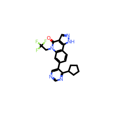 O=c1c2cn[nH]c2c2ccc(-c3cncnc3C3CCCC3)cc2n1CC(F)(F)F